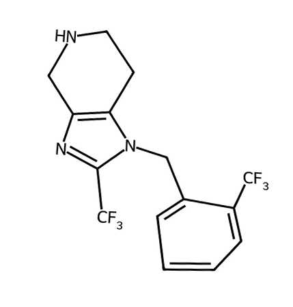 FC(F)(F)c1ccccc1Cn1c(C(F)(F)F)nc2c1CCNC2